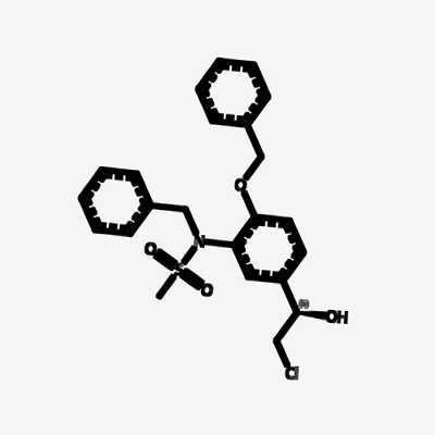 CS(=O)(=O)N(Cc1ccccc1)c1cc([C@@H](O)CCl)ccc1OCc1ccccc1